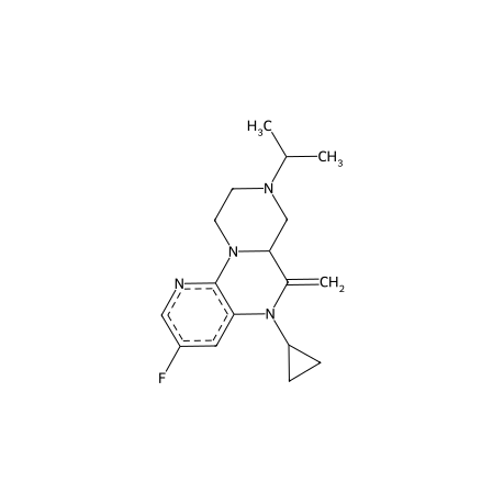 C=C1C2CN(C(C)C)CCN2c2ncc(F)cc2N1C1CC1